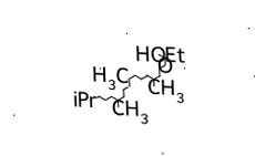 CCC(O)OCCC(C)CCCC(C)CCCC(C)CCCC(C)C